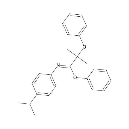 CC(C)c1ccc(N=C(Oc2ccccc2)C(C)(C)Oc2ccccc2)cc1